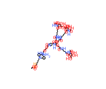 C#CO[PH](=O)OCCCCCCCN1Cc2ccccc2/C(N)=C(/NCCOCCOCC(=O)N2CCC(C(=O)NC(COCCC(=O)NCCCCCCOC3OC(CO)C(O)C(O)C3NC(C)=O)(COCCC(=O)NCCCCCCOC3OC(CO)C(O)C(O)C3NC(C)=O)COCCC(=O)NCCCCCCOC3OC(CO)C(O)C(O)C3NC(C)=O)CC2)c2ccccc21